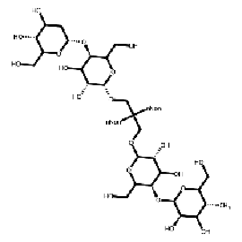 CCCCCCCCCC(CCCCCCCCC)(COC1OC(CO)[C@H](OC2OC(CO)[C@H](C)C(O)[C@H]2O)C(O)[C@H]1O)CO[C@H]1OC(CO)[C@H](O[C@H]2CC(O)[C@@H](O)C(CO)O2)C(O)[C@H]1O